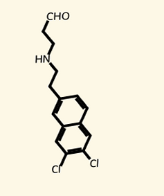 O=CCCNCCc1ccc2cc(Cl)c(Cl)cc2c1